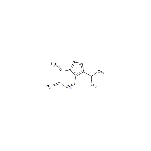 C=C/C=C\c1c(C(C)C)cnn1C=C